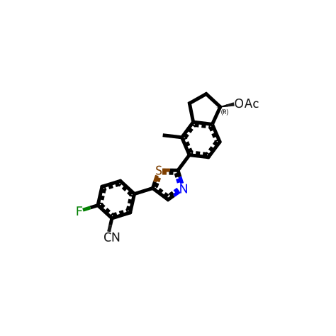 CC(=O)O[C@@H]1CCc2c1ccc(-c1ncc(-c3ccc(F)c(C#N)c3)s1)c2C